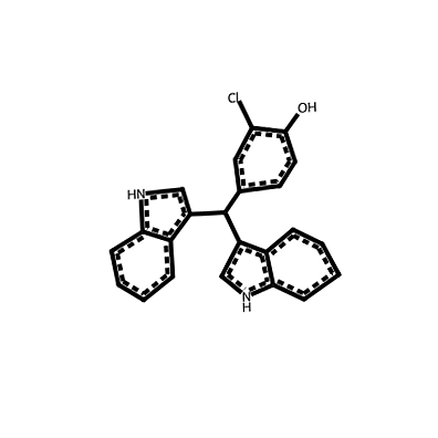 Oc1ccc(C(c2c[nH]c3ccccc23)c2c[nH]c3ccccc23)cc1Cl